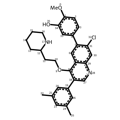 COc1ccc(-c2cc3c(OCCC4CCCCN4)c(-c4cc(C)cc(C)c4)cnc3cc2Cl)cc1O